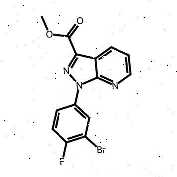 COC(=O)c1nn(-c2ccc(F)c(Br)c2)c2ncccc12